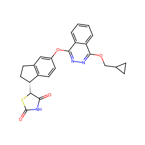 O=C1NC(=O)C([C@@H]2CCc3cc(Oc4nnc(OCC5CC5)c5ccccc45)ccc32)S1